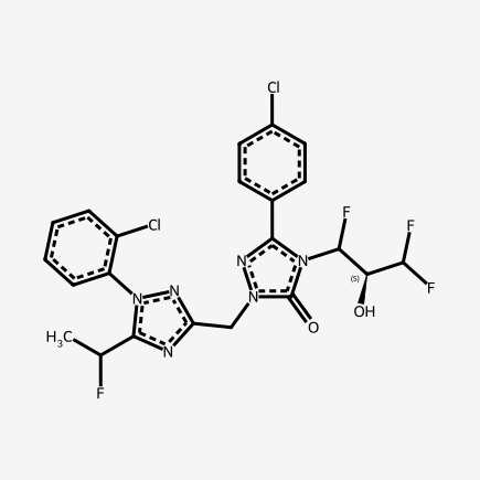 CC(F)c1nc(Cn2nc(-c3ccc(Cl)cc3)n(C(F)[C@H](O)C(F)F)c2=O)nn1-c1ccccc1Cl